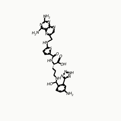 Nc1ccc(C(O)NCCC[C@H](NC(=O)c2ccc(NCc3cnc4nc(N)nc(N)c4n3)s2)C(=O)O)c(-c2nn[nH]n2)c1